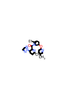 CCC1C2CC(Oc3ccc(C)cn3)C(C2)N1C(=O)c1nc(C)ccc1-n1nccn1